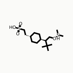 C[SiH](C)OCC([C@H]1CC[C@H](CCS(=O)(=O)O)CC1)C(C)(C)C